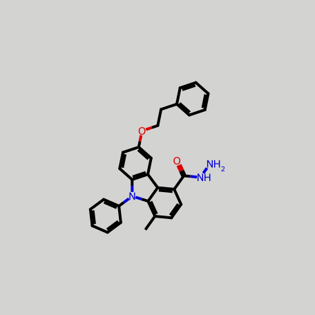 Cc1ccc(C(=O)NN)c2c3cc(OCCc4ccccc4)ccc3n(-c3ccccc3)c12